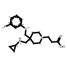 O=C(O)CCN1CCC(CNC2CC2)(COc2cccc(F)c2)CC1